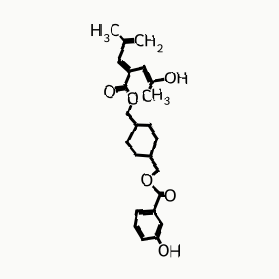 C=C(C)/C=C(\C=C(/C)O)C(=O)OCC1CCC(COC(=O)c2cccc(O)c2)CC1